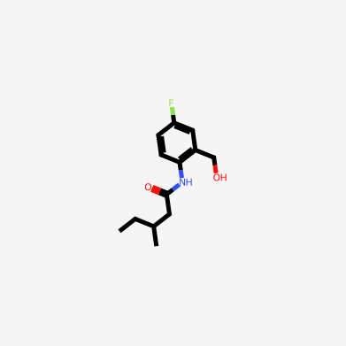 CCC(C)CC(=O)Nc1ccc(F)cc1CO